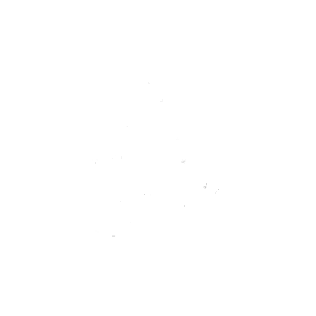 CCC(=O)OC1CC(OC(=O)CC)CC(CCCC(C)C)(OC(=O)CC)C1